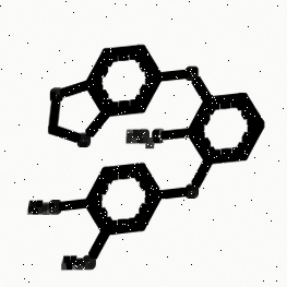 COc1ccc(Oc2cccc(Oc3ccc4c(c3)OCO4)c2C(=O)O)cc1OC